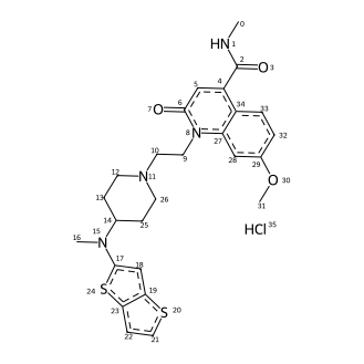 CNC(=O)c1cc(=O)n(CCN2CCC(N(C)c3cc4sccc4s3)CC2)c2cc(OC)ccc12.Cl